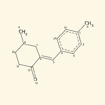 Cc1ccc(C=C2CC(C)CCC2=O)cc1